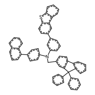 c1ccc(C2(c3ccccc3)c3ccccc3-c3ccc(CN(c4ccc(-c5cccc6ccccc56)cc4)c4cccc(-c5ccc6sc7ccccc7c6c5)c4)cc32)cc1